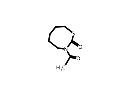 CC(=O)N1CCCCCSC1=O